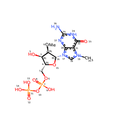 CO[C@@H]1[C@H](O)[C@@H](COP(=O)(O)OP(=O)(O)O)O[C@H]1n1c[n+](C)c2c(=O)[nH]c(N)nc21